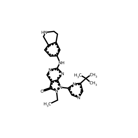 CCn1c(=O)c2cnc(Nc3ccc4c(c3)CCNC4)nc2n1-c1cncc(C(C)(C)C)n1